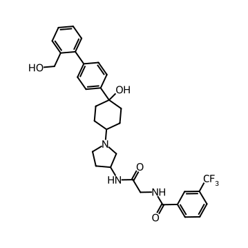 O=C(CNC(=O)c1cccc(C(F)(F)F)c1)NC1CCN(C2CCC(O)(c3ccc(-c4ccccc4CO)cc3)CC2)C1